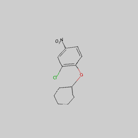 O=[N+]([O-])c1ccc(OC2CCCCC2)c(Cl)c1